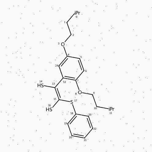 CC(C)CCOc1ccc(OCCC(C)C)c(/C(S)=C(/S)Sc2ccccc2)c1